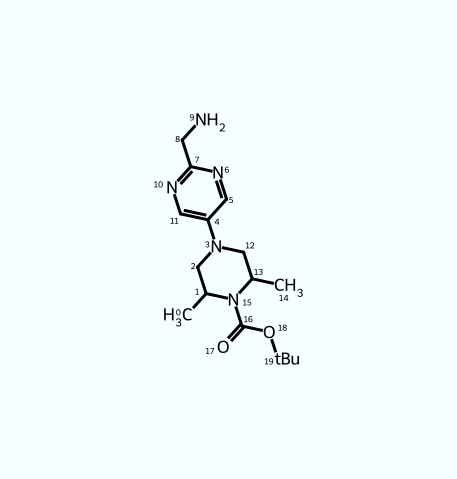 CC1CN(c2cnc(CN)nc2)CC(C)N1C(=O)OC(C)(C)C